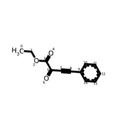 CCOC(=O)C(=O)C#Cc1ccccc1